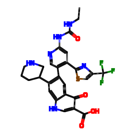 CCNC(=O)Nc1cc(-c2nc(C(F)(F)F)cs2)c(-c2cc3c(=O)c(C(=O)O)c[nH]c3cc2C2CCCNC2)cn1